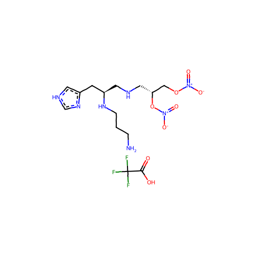 NCCCN[C@H](CNC[C@H](CO[N+](=O)[O-])O[N+](=O)[O-])Cc1c[nH]cn1.O=C(O)C(F)(F)F